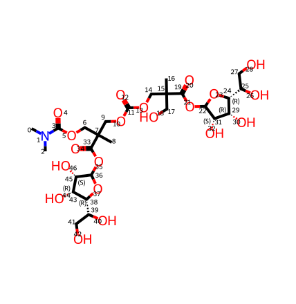 CN(C)C(=O)OCC(C)(COC(=O)OCC(C)(CO)C(=O)OC1O[C@H](C(O)CO)[C@H](O)[C@@H]1O)C(=O)OC1O[C@H](C(O)CO)[C@H](O)[C@@H]1O